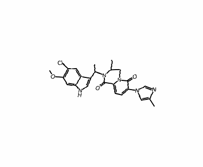 COc1cc2[nH]cc(C(C)N3C(=O)c4ccc(-n5cnc(C)c5)c(=O)n4CC3C)c2cc1Cl